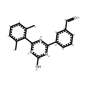 Cc1cccc(C)c1-c1nc(O)nc(-c2cccc(C=O)c2)n1